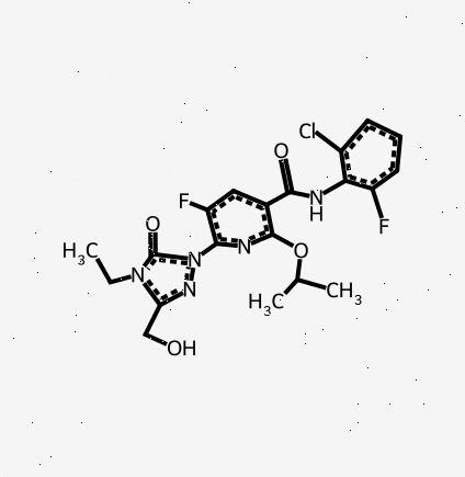 CCn1c(CO)nn(-c2nc(OC(C)C)c(C(=O)Nc3c(F)cccc3Cl)cc2F)c1=O